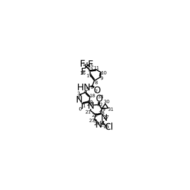 Cc1ncc(NC(=O)c2cccc(C(F)(F)F)c2)cc1N1Cc2cnc(Cl)nc2C2(CC2)C1=O